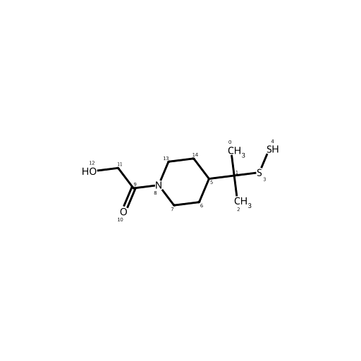 CC(C)(SS)C1CCN(C(=O)CO)CC1